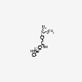 CCN(CCOC)Cc1ccc(C=Cc2n[nH]c3cc([C@@H]4C[C@@]45C(=O)Nc4ccccc45)ccc23)cc1